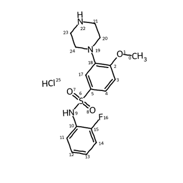 COc1ccc(S(=O)(=O)Nc2ccccc2F)cc1N1CCNCC1.Cl